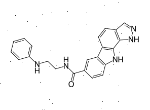 O=C(NCCNc1ccccc1)c1ccc2[nH]c3c(ccc4cn[nH]c43)c2c1